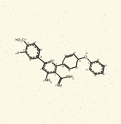 N=C(N)c1c(N)cc(-c2ccc(C(=O)O)c(F)c2)nc1C1=CCC(Oc2ccccc2)C=C1